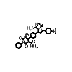 CC(C)n1c(-c2ccc(-c3cc(C4CCC(N(C)C)CC4)n4ncnc(N)c34)cc2)c(C(N)=O)c(=O)n(-c2ccccc2)c1=O